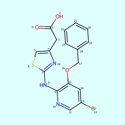 O=C(O)Cc1csc(Nc2ncc(Br)cc2OCc2ccccc2)n1